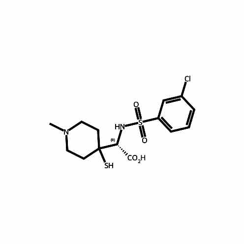 CN1CCC(S)([C@H](NS(=O)(=O)c2cccc(Cl)c2)C(=O)O)CC1